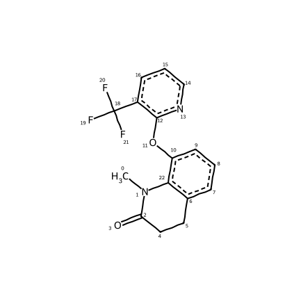 CN1C(=O)CCc2cccc(Oc3ncccc3C(F)(F)F)c21